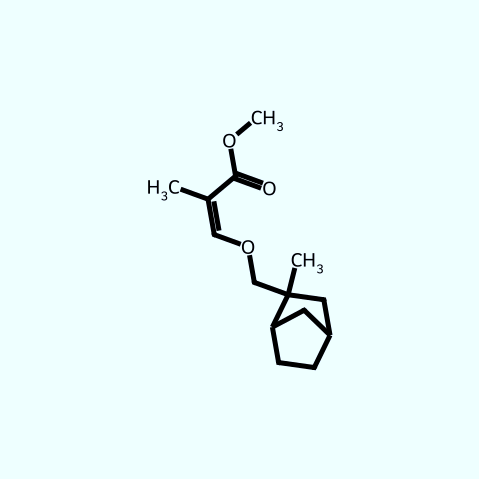 COC(=O)C(C)=COCC1(C)CC2CCC1C2